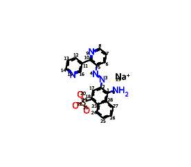 Nc1c(N=Nc2cccnc2-c2cccnc2)cc(S(=O)(=O)[O-])c2ccccc12.[Na+]